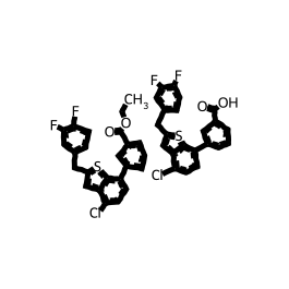 CCOC(=O)c1cccc(-c2ccc(Cl)c3cc(Cc4ccc(F)c(F)c4)sc23)c1.O=C(O)c1cccc(-c2ccc(Cl)c3cc(Cc4ccc(F)c(F)c4)sc23)c1